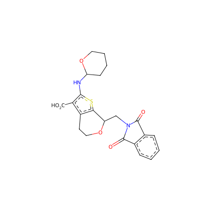 O=C(O)c1c(NC2CCCCO2)sc2c1CCOC2CN1C(=O)c2ccccc2C1=O